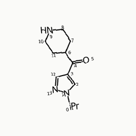 CC(C)n1cc(C(=O)C2CCNCC2)cn1